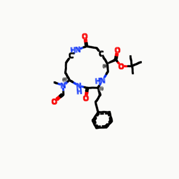 CN(C=O)[C@H]1CCCNC(=O)CC[C@@H](C(=O)OC(C)(C)C)CN[C@@H](CCc2ccccc2)C(=O)N1